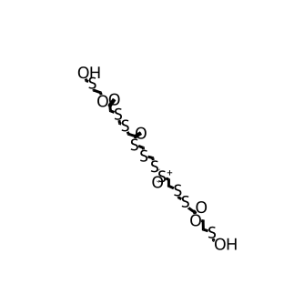 O=C(CSCSCC[S+]([O-])CSCSCSC(=O)CSCSCC(=O)OCCSCO)OCCSCO